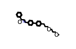 COCCCOCCCc1ccc(-c2ccc(/C=C/C(=O)c3ccccc3)cc2)cc1